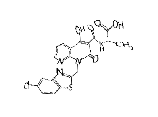 CC(NC(=O)c1c(O)c2cccnc2n(Cc2nc3cc(Cl)ccc3s2)c1=O)C(=O)O